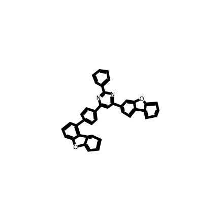 c1ccc(-c2nc(-c3ccc(-c4cccc5oc6ccccc6c45)cc3)cc(-c3ccc4c(c3)oc3ccccc34)n2)cc1